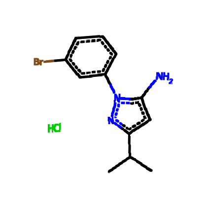 CC(C)c1cc(N)n(-c2cccc(Br)c2)n1.Cl